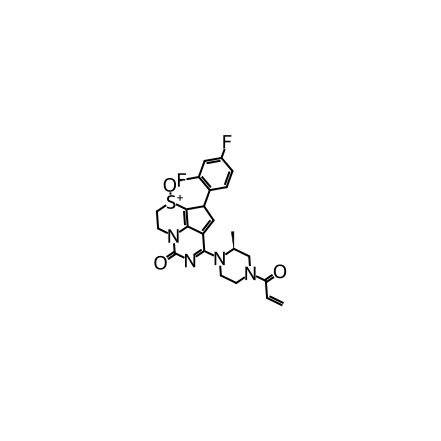 C=CC(=O)N1CCN(c2nc(=O)n3c4c2=CC(c2ccc(F)cc2F)C=4[S+]([O-])CC3)[C@@H](C)C1